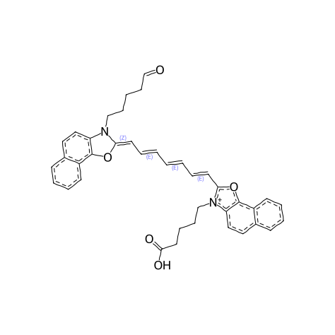 O=CCCCCN1/C(=C/C=C/C=C/C=C/c2oc3c4ccccc4ccc3[n+]2CCCCC(=O)O)Oc2c1ccc1ccccc21